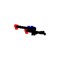 CCCCCCCCCCCCCC(=O)[O-].CCCCCCCCCCCCCC(=O)[O-].NC1CCCCC1N.[Pt+2]